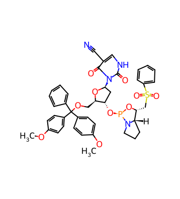 COc1ccc(C(OC[C@H]2O[C@@H](n3c(=O)[nH]cc(C#N)c3=O)C[C@@H]2O[P@@]2O[C@H](CS(=O)(=O)c3ccccc3)[C@@H]3CCCN32)(c2ccccc2)c2ccc(OC)cc2)cc1